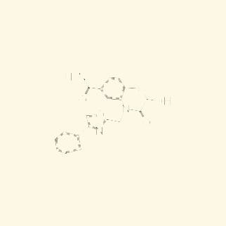 NC(=O)c1ccc2c(c1)N(Cc1nc(-c3ccccc3)co1)C(=O)C(O)O2